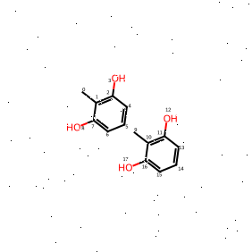 Cc1c(O)cccc1O.Cc1c(O)cccc1O